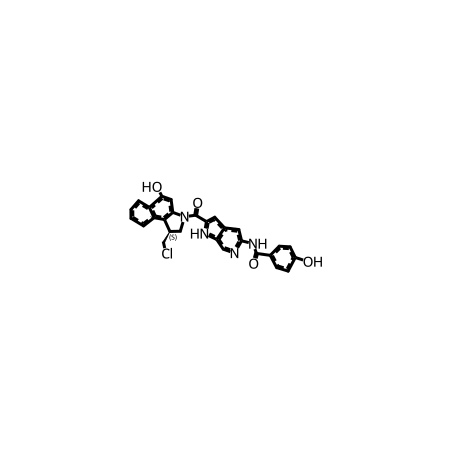 O=C(Nc1cc2cc(C(=O)N3C[C@@H](CCl)c4c3cc(O)c3ccccc43)[nH]c2cn1)c1ccc(O)cc1